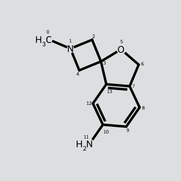 CN1CC2(C1)OCc1ccc(N)cc12